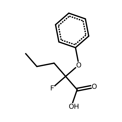 CCCC(F)(Oc1ccccc1)C(=O)O